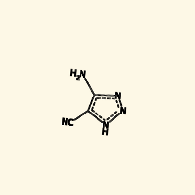 N#Cc1[nH]nnc1N